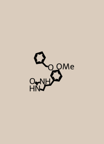 COc1ccc(CC2CNC(=O)N2)cc1OCc1ccccc1